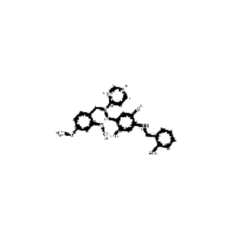 COc1ccc(CN(Sc2cc(Cl)c(NCc3ccccc3Cl)cc2F)c2ccncn2)c(OC)c1